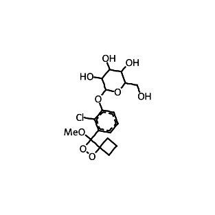 COC1(c2cccc(OC3OC(CO)C(O)C(O)C3O)c2Cl)OOC12CCC2